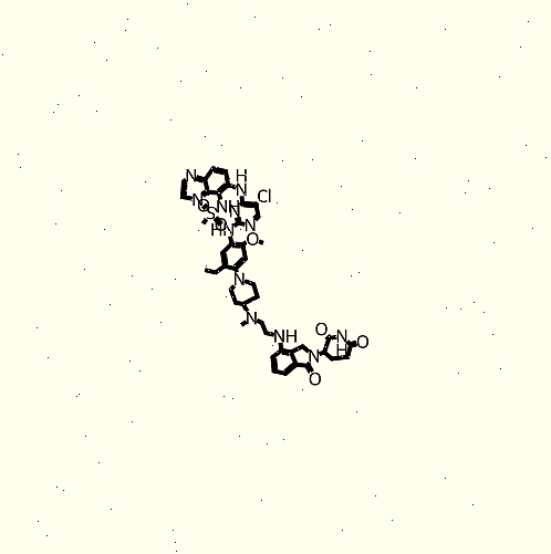 CCc1cc(Nc2ncc(Cl)c(Nc3ccc4nccnc4c3NS(C)(=O)=O)n2)c(OC)cc1N1CCC(N(C)CCNc2cccc3c2CN(C2CCC(=O)NC2=O)C3=O)CC1